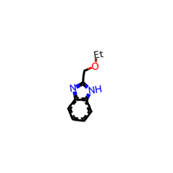 CCOCc1nc2ccccc2[nH]1